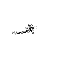 CCC1OC(O)C(OCCCSCCN)C(O)C1O